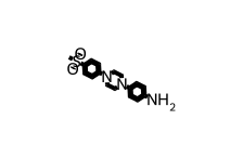 CS(=O)(=O)c1ccc(N2CCN(c3ccc(N)cc3)CC2)cc1